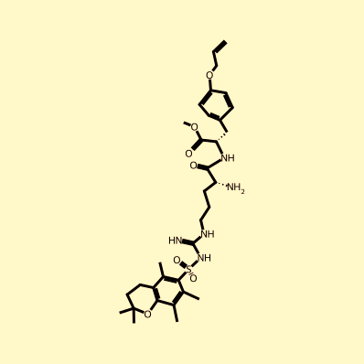 C=CCOc1ccc(C[C@H](NC(=O)[C@H](N)CCCNC(=N)NS(=O)(=O)c2c(C)c(C)c3c(c2C)CCC(C)(C)O3)C(=O)OC)cc1